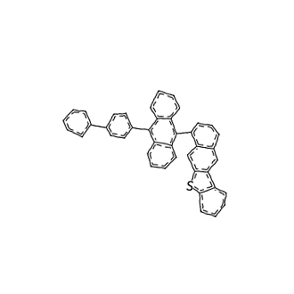 c1ccc(-c2ccc(-c3c4ccccc4c(-c4cccc5cc6c(cc45)sc4ccccc46)c4ccccc34)cc2)cc1